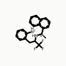 C[C@@H](NC(Cc1ccccc1N)C(F)(F)F)c1cccc2ccccc12